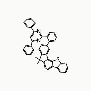 CC1(C)c2ccc(-c3ccccc3-c3nc(-c4ccccc4)cc(-c4ccccc4)n3)cc2-c2c1ccc1c2sc2ccccc21